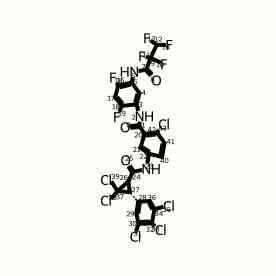 O=C(Nc1cc(NC(=O)C(F)(F)C(F)F)c(F)cc1F)c1cc(NC(=O)C2[C@H](c3cc(Cl)c(Cl)c(Cl)c3)C2(Cl)Cl)ccc1Cl